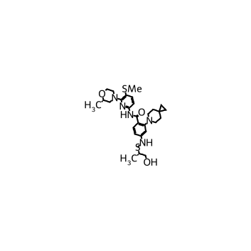 CSc1ccc(NC(=O)c2ccc(NS[C@H](C)CO)cc2N2CCC3(CC2)CC3)nc1N1CCO[C@H](C)C1